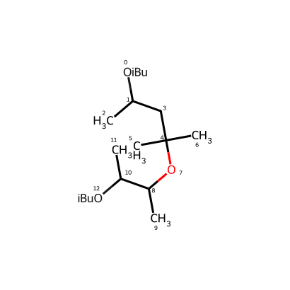 CC(C)COC(C)CC(C)(C)OC(C)C(C)OCC(C)C